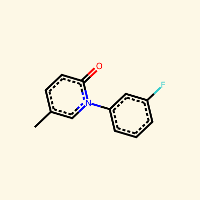 Cc1ccc(=O)n(-c2cccc(F)c2)c1